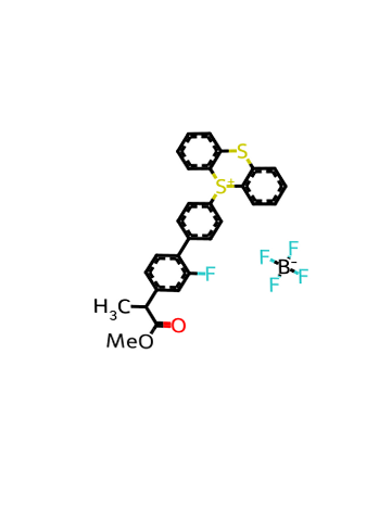 COC(=O)C(C)c1ccc(-c2ccc([S+]3c4ccccc4Sc4ccccc43)cc2)c(F)c1.F[B-](F)(F)F